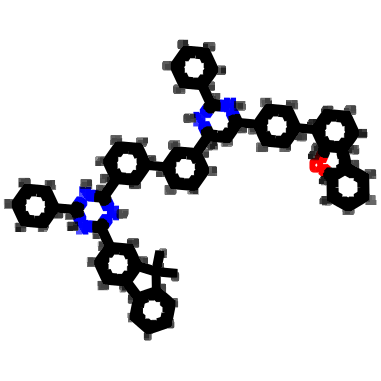 CC1(C)c2ccccc2-c2ccc(-c3nc(-c4ccccc4)nc(-c4cccc(-c5cccc(-c6cc(-c7ccc(-c8cccc9c8oc8ccccc89)cc7)nc(-c7ccccc7)n6)c5)c4)n3)cc21